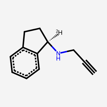 [2H][C@@]1(NCC#C)CCc2ccccc21